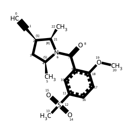 C#C[C@@H]1C[C@H](C)N(C(=O)c2cc(S(C)(=O)=O)ccc2OC)[C@@H]1C